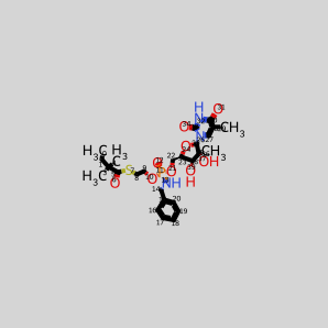 CCC(C)(C)C(=O)SCCOP(=O)(NCc1ccccc1)OC[C@H]1O[C@@H](n2cc(C)c(=O)[nH]c2=O)C(C)(O)[C@H]1O